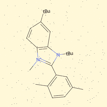 Cc1ccc(C)c(-c2n(C(C)(C)C)c3cc(C(C)(C)C)ccc3[n+]2C)c1